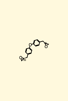 c1cc(Oc2ccc(C[C@H]3CO3)cc2)ccc1C[C@H]1CO1